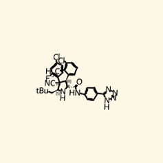 Cc1c(Cl)cccc1[C@H]1[C@H](C(=O)Nc2ccc(-c3nnn[nH]3)cc2)N[C@@H](CC(C)(C)C)[C@]1(C#N)c1ccc(Cl)cc1F